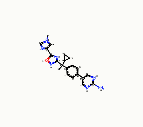 Cn1cnc(-c2nc(C(C)(c3ccc(-c4cnc(N)nc4)cc3)C3CC3)no2)c1